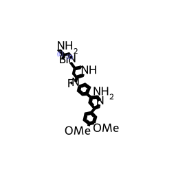 COc1ccc(-c2cnc(N)c(-c3ccc(N(F)C4=CNC=C(C/N=C\C(Br)=C/N)C4)cc3)c2)cc1OC